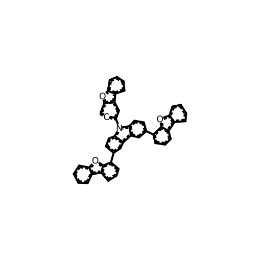 c1ccc2c(c1)oc1ccc(-n3c4ccc(-c5cccc6c5oc5ccccc56)cc4c4cc(-c5cccc6c5oc5ccccc56)ccc43)cc12